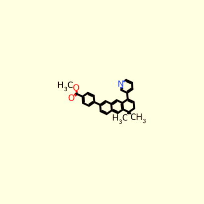 COC(=O)c1ccc(-c2ccc3cc4c(cc3c2)C(c2cccnc2)=CCC4(C)C)cc1